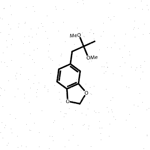 COC(C)(Cc1ccc2c(c1)OCO2)OC